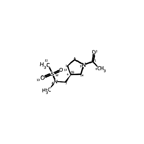 CC(=O)N1CC[C@H](CN(C)S(C)(=O)=O)C1